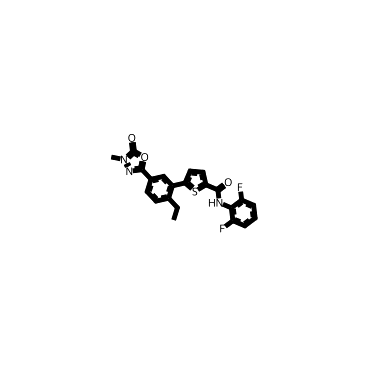 CCc1ccc(-c2nn(C)c(=O)o2)cc1-c1ccc(C(=O)Nc2c(F)cccc2F)s1